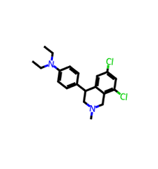 CCN(CC)c1ccc(C2CN(C)Cc3c(Cl)cc(Cl)cc32)cc1